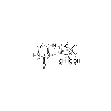 C[C@]1(CO)O[C@@H](Nc2cc[nH]c(=O)n2)[C@](O)(F)[C@@H]1O